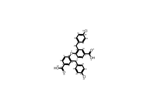 O=C(O)c1ccc(Oc2ccc(C(=O)O)cc2Cc2ccc(Cl)cc2)c(Cc2ccc(Cl)cc2)c1